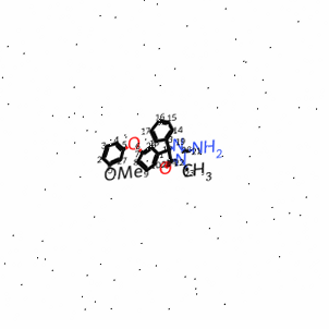 COc1cccc(Oc2cccc(C3(c4cc[c]cc4)N=C(N)N(C)C3=O)c2)c1